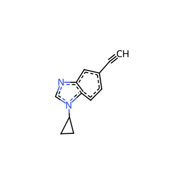 C#Cc1ccc2c(c1)ncn2C1CC1